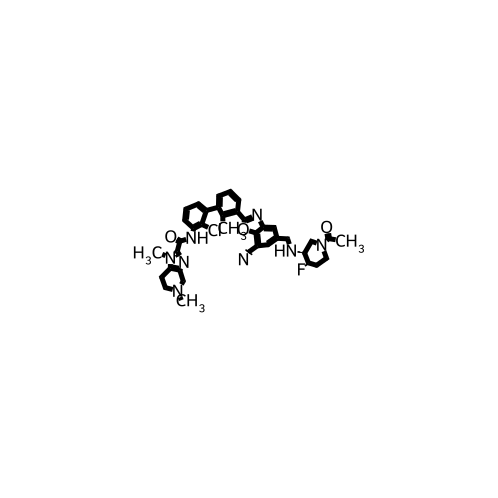 CC(=O)N1CC[C@H](F)[C@H](NCc2cc(C#N)c3oc(-c4cccc(-c5cccc(NC(=O)c6nc7c(n6C)CCN(C)C7)c5Cl)c4C)nc3c2)C1